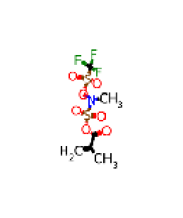 C=C(C)C(=O)OS(=O)(=O)N(C)OS(=O)(=O)C(F)(F)F